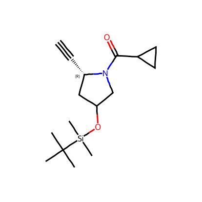 C#C[C@H]1CC(O[Si](C)(C)C(C)(C)C)CN1C(=O)C1CC1